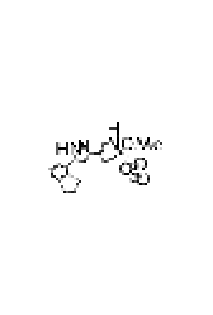 COC1(COS(C)(=O)=O)C=CC(c2cc(-c3cccc4c3CCC4)[nH]n2)=CN1